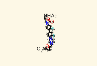 CC(=O)NC[C@H]1CN(c2ccc(-c3ccc(N4CCN(Cc5ccc([N+](=O)[O-])o5)CC4)c(F)c3)c(F)c2)C(=O)O1